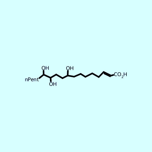 CCCCCC(O)C(O)CCC(O)CCCCCC=CC(=O)O